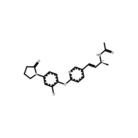 CC(=O)N[C@@H](C)/C=C/c1ccc(Oc2ccc(N3CCCC3=O)cc2Cl)nc1